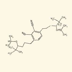 C[SiH](C)OC(CCCc1ccc(CCCC(O[SiH](C)C)C(C)(C)C)c(C#N)c1C#N)C(C)(C)C